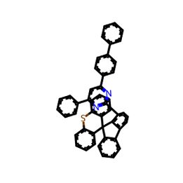 c1ccc(-c2ccc(-c3cc(-c4ccccc4)nc(-c4cccc5c4C4(c6ccccc6Sc6ccccc64)c4ccccc4-5)n3)cc2)cc1